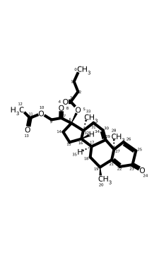 CCCC(=O)O[C@]1(C(=O)COC(C)=O)CC[C@H]2[C@@H]3C[C@H](C)C4=CC(=O)C=C[C@]4(C)C3=CC[C@@]21C